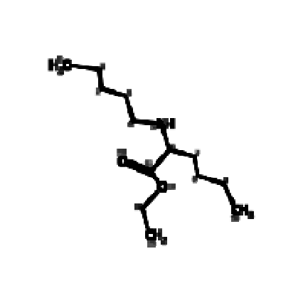 CCCCCNC(CCCC)C(=O)OCC